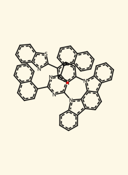 c1ccc2c(-c3nc(-c4cccc5ccccc45)nc(-n4c5ccccc5c5ccc6c7ccccc7n(-c7ccc(-c8nc9ccccc9s8)cc7)c6c54)n3)cccc2c1